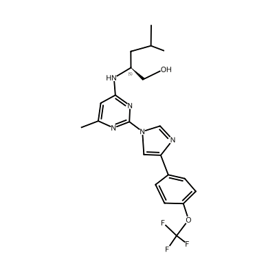 Cc1cc(N[C@H](CO)CC(C)C)nc(-n2cnc(-c3ccc(OC(F)(F)F)cc3)c2)n1